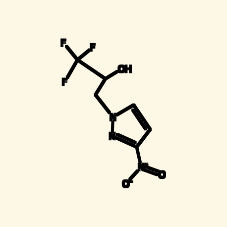 O=[N+]([O-])c1ccn(CC(O)C(F)(F)F)n1